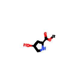 CCOC(=O)[C@@H]1C[C@H](O)CN1